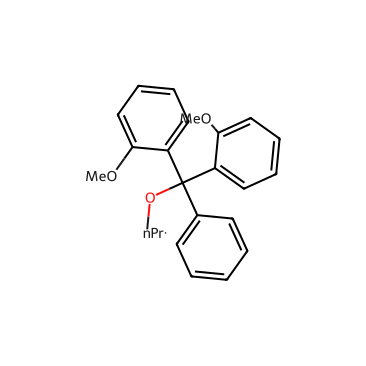 CC[CH]OC(c1ccccc1)(c1ccccc1OC)c1ccccc1OC